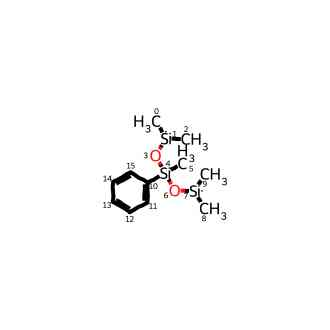 C[Si](C)O[Si](C)(O[Si](C)C)c1ccccc1